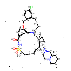 CC[C@@H]1CC/C=C/[C@](CN2CCN3CCCC[C@@H]3C2)(OC)[C@@H]2CC[C@H]2CN2CCCCc3cc(Cl)ccc3COc3ccc(cc32)C(=O)NS1(=O)=O